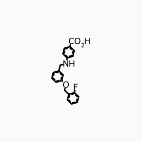 O=C(O)c1ccc(NCc2cccc(OCc3ccccc3F)c2)cc1